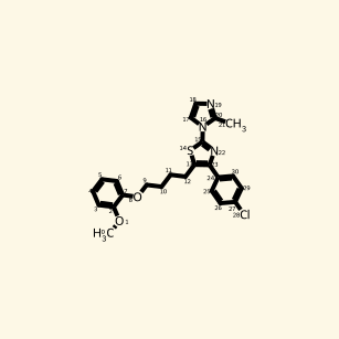 COc1ccccc1OCCCCc1sc(-n2ccnc2C)nc1-c1ccc(Cl)cc1